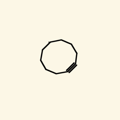 C1#CCCCC[CH]CCC1